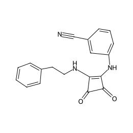 N#Cc1cccc(Nc2c(NCCc3ccccc3)c(=O)c2=O)c1